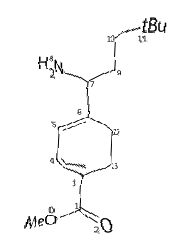 COC(=O)C1=CC=C(C(N)CCC(C)(C)C)CC1